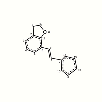 [C]1Cc2cccc(/C=C/c3ccccc3)c2O1